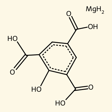 O=C(O)c1cc(C(=O)O)c(O)c(C(=O)O)c1.[MgH2]